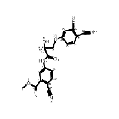 COC(=O)c1cc(NC(=O)[C@@](C)(O)COc2ccc(C#N)c(F)c2)ccc1C#N